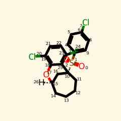 O=S(=O)(c1ccc(Cl)cc1)[C@]12CCCC[C@H](C1)Oc1c(Cl)ccc(F)c12